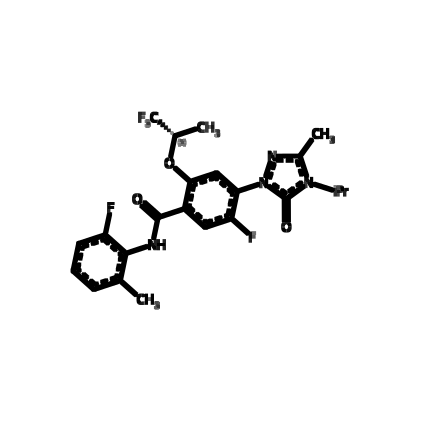 Cc1cccc(F)c1NC(=O)c1cc(F)c(-n2nc(C)n(C(C)C)c2=O)cc1O[C@@H](C)C(F)(F)F